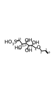 C=CCOCC(O)C(O)C(O)C(O)CS(=O)(=O)O